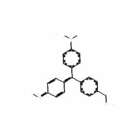 CN=C1C=CC(=C(c2ccc(CNC)cc2)c2ccc(N(C)C)cc2)C=C1